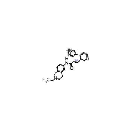 O=C(/C=C/c1cnccc1-c1cn[nH]c1)Nc1ccc2c(c1)CCN(CC(F)(F)F)C2